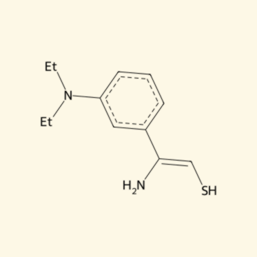 CCN(CC)c1cccc(/C(N)=C/S)c1